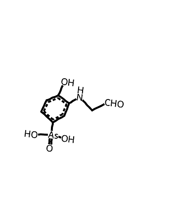 O=CCNc1cc([As](=O)(O)O)ccc1O